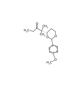 CCC(=O)C(C)(C)[C@@H]1CCOC(c2ccc(OC)cc2)O1